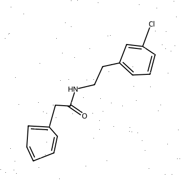 O=C([CH]c1ccccc1)NCCc1cccc(Cl)c1